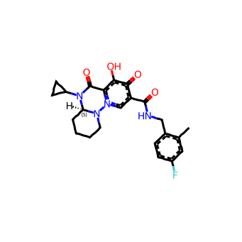 Cc1cc(F)ccc1CNC(=O)c1cn2c(c(O)c1=O)C(=O)N(C1CC1)[C@@H]1CCCCN12